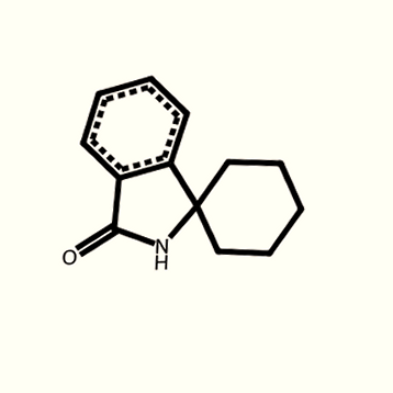 O=C1NC2(CCCCC2)c2ccccc21